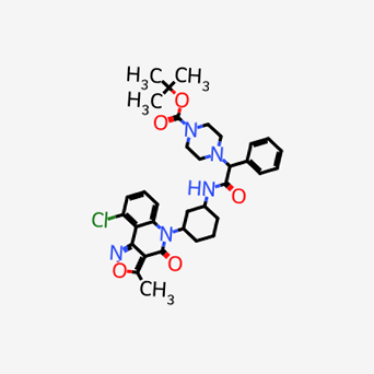 Cc1onc2c1c(=O)n(C1CCCC(NC(=O)C(c3ccccc3)N3CCN(C(=O)OC(C)(C)C)CC3)C1)c1cccc(Cl)c21